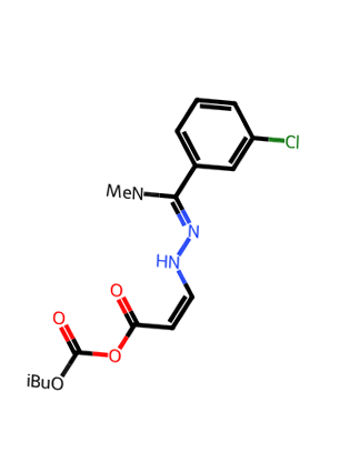 CN/C(=N\N/C=C\C(=O)OC(=O)OCC(C)C)c1cccc(Cl)c1